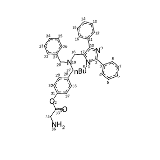 CCCCn1c(-c2ccccc2)nc(-c2ccccc2)c1CN(Cc1ccccc1)Cc1ccc(OC(=O)CN)cc1